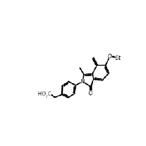 C=c1c(OCC)ccc2c1=C(C)N(c1ccc(CC(=O)O)cc1)C2=O